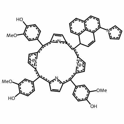 COc1cc(-c2c3nc(c(-c4ccc(O)c(OC)c4)c4ccc([nH]4)c(C4C=Cc5c(-n6cccc6)ccc6cccc4c56)c4nc(c(-c5ccc(O)c(OC)c5)c5ccc2[nH]5)C=C4)C=C3)ccc1O